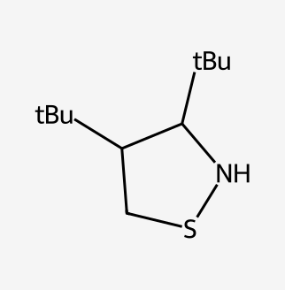 CC(C)(C)C1CSNC1C(C)(C)C